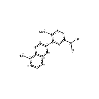 COc1ccc(B(O)O)cc1-c1cnc2c(N)nccc2c1